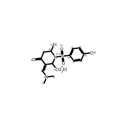 CCOC(=O)C1/C(=C\N(C)C)C(=O)CC(CC)N1S(=O)(=O)c1ccc(Cl)cc1